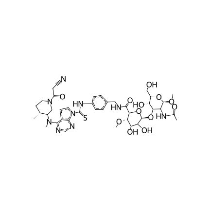 CO[C@@H]1OC(CO)[C@@H](O)C(O[C@@H]2OC(C(=O)NCc3ccc(NC(=S)n4ccc5c(N(C)C6CN(C(=O)CC#N)CC[C@H]6C)ncnc54)cc3)[C@@H](OC)C(O)C2O)C1NC(C)=O